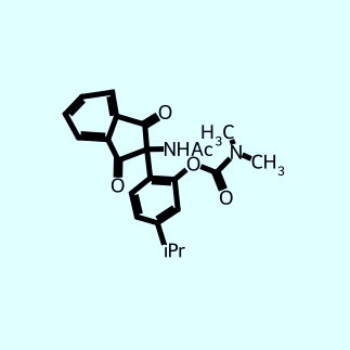 CC(=O)NC1(c2ccc(C(C)C)cc2OC(=O)N(C)C)C(=O)c2ccccc2C1=O